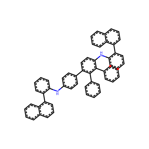 c1ccc(-c2c(Nc3ccccc3-c3cccc4ccccc34)ccc(-c3ccc(Nc4ccccc4-c4cccc5ccccc45)cc3)c2-c2ccccc2)cc1